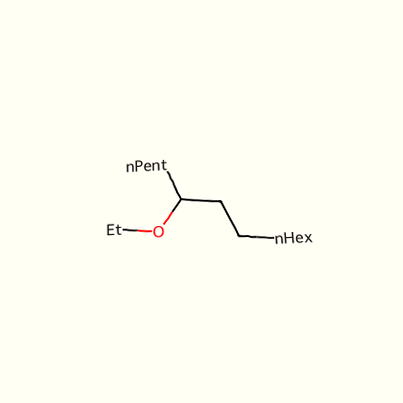 CCCCCCCCC(CCCCC)OCC